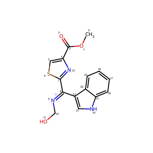 COC(=O)c1csc(/C(=N/CO)c2c[nH]c3ccccc23)n1